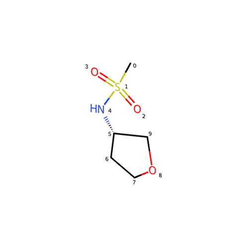 CS(=O)(=O)N[C@H]1CCOC1